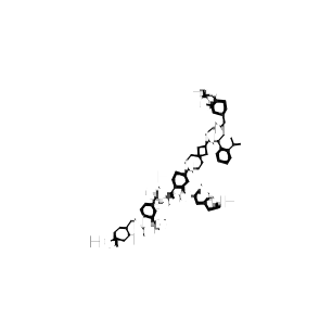 CC(C)c1ccccc1C1CN(Cc2ccc3c(c2)OC(F)(F)O3)CCN1C1CC2(CCN(c3ccc(C(=O)NS(=O)(=O)c4ccc(NCC5CCC(C)(O)CC5)c([N+](=O)[O-])c4)c(Oc4cnc5[nH]ccc5c4)c3)CC2)C1